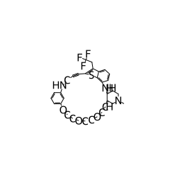 CN1CC[C@H]2Nc3cccc4c(CC(F)(F)F)c(sc34)C#CCNc3cccc(c3)OCCOCCOCC[C@H]2C1